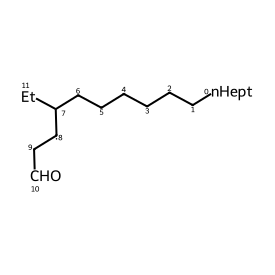 CCCCCCCCCCCCCC([CH]CC=O)CC